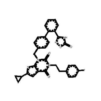 O=c1[nH]c(-c2ccccc2-c2ccc(Cn3c(=O)n(CCc4ccc(F)cc4)c(=O)c4cc(C5CC5)sc43)cc2)no1